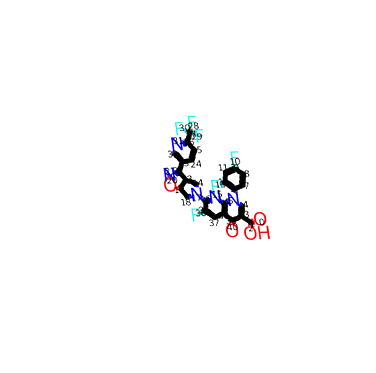 O=C(O)c1cn(-c2ccc(F)cc2F)c2nc(N3CC4ON=C(c5ccc(C(F)(F)F)nc5)C4C3)c(F)cc2c1=O